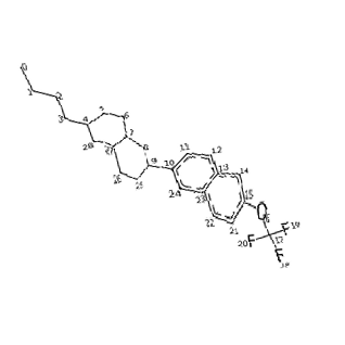 CCCCC1CCC2CC(c3ccc4cc(OC(F)(F)F)ccc4c3)CCC2C1